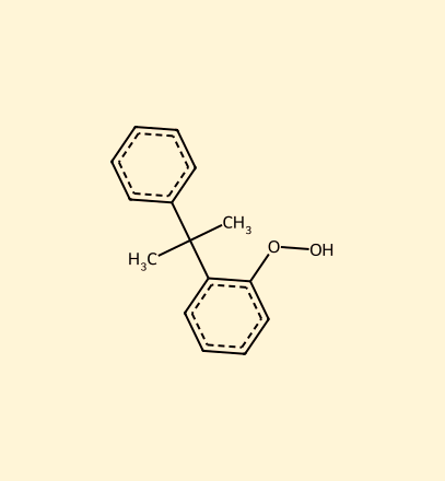 CC(C)(c1ccccc1)c1ccccc1OO